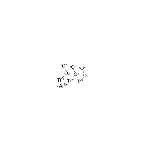 [Al+3].[O-][O][Ti].[O-][O][Ti].[O-][O][Ti]